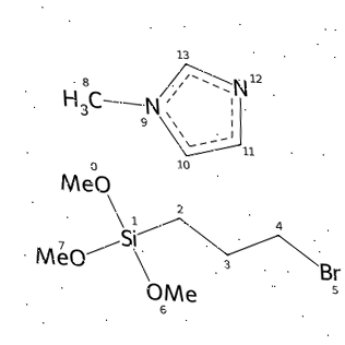 CO[Si](CCCBr)(OC)OC.Cn1ccnc1